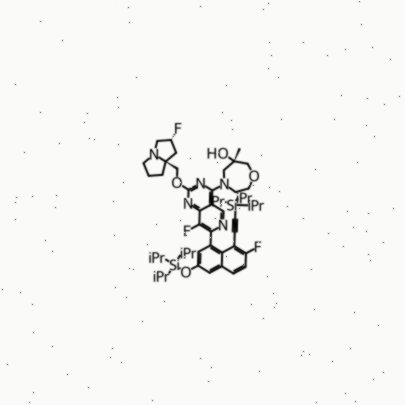 CC(C)[Si](C#Cc1c(F)ccc2cc(O[Si](C(C)C)(C(C)C)C(C)C)cc(-c3ncc4c(N5CCOC[C@@](C)(O)C5)nc(OC[C@@]56CCCN5C[C@H](F)C6)nc4c3F)c12)(C(C)C)C(C)C